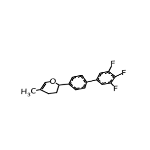 CC1=COC(c2ccc(-c3cc(F)c(F)c(F)c3)cc2)CC1